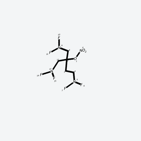 O=[N+]([O-])OC(CCN(F)F)(CN(F)F)CN(F)F